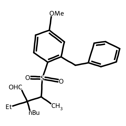 CCCCC(C=O)(CC)C(C)S(=O)(=O)c1ccc(OC)cc1Cc1ccccc1